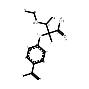 C=C(C)c1ccc(OC(C)(C(=O)O)C(C)OCC)cc1